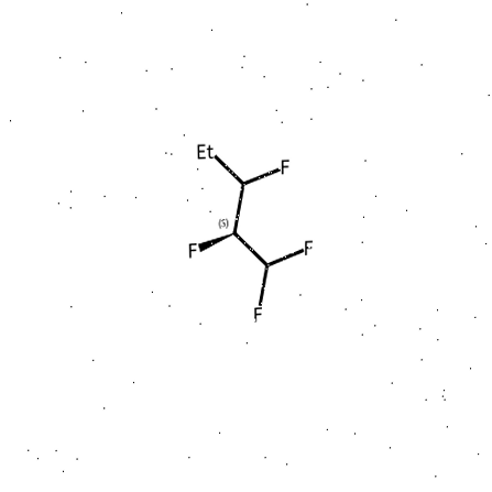 [CH2]CC(F)[C@H](F)C(F)F